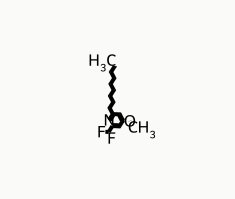 CCCCCCCCCc1cc(OC)cc(C(F)F)n1